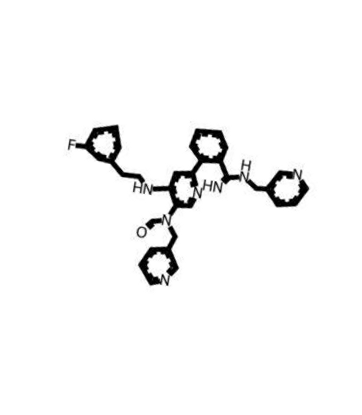 N=C(NCc1cccnc1)c1ccccc1-c1cc(NCCc2cccc(F)c2)c(N(C=O)Cc2cccnc2)cn1